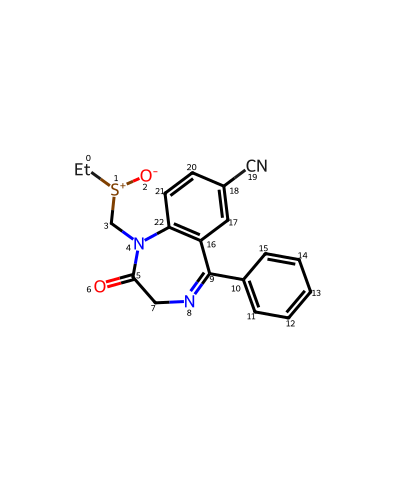 CC[S+]([O-])CN1C(=O)CN=C(c2ccccc2)c2cc(C#N)ccc21